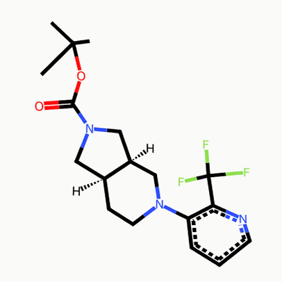 CC(C)(C)OC(=O)N1C[C@@H]2CCN(c3cccnc3C(F)(F)F)C[C@@H]2C1